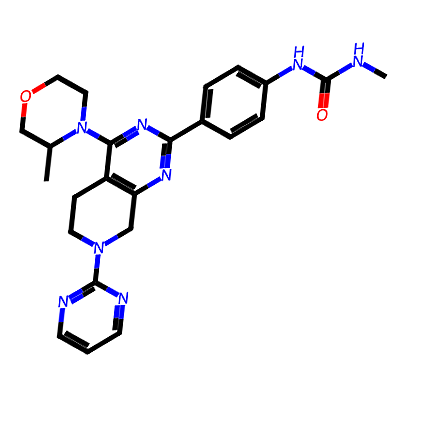 CNC(=O)Nc1ccc(-c2nc3c(c(N4CCOCC4C)n2)CCN(c2ncccn2)C3)cc1